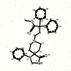 COC(=O)C(CCN1CCC2(CC1)C(=O)NCN2c1ccccc1)(c1ccccc1)c1ccccc1